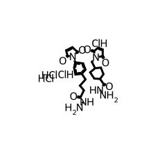 Cl.Cl.Cl.Cl.NNC(=O)C1CCC(CN2C(=O)C=CC2=O)CC1.NNC(=O)CCCc1ccc(N2C(=O)C=CC2=O)cc1